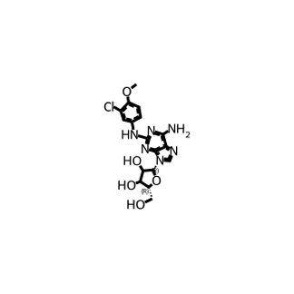 COc1ccc(Nc2nc(N)c3ncn([C@@H]4O[C@H](CO)C(O)C4O)c3n2)cc1Cl